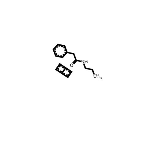 CCCNC(=O)Cc1ccccc1.c1cc2ccc1-2